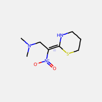 CN(C)C/C(=C1\NCCCS1)[N+](=O)[O-]